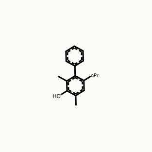 CCCc1cc(C)c(O)c(C)c1-c1ccccc1